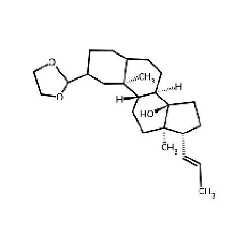 CC=C[C@H]1CC[C@@]2(O)[C@@H]3CCC4CCC(C5OCCO5)C[C@]4(C)[C@H]3CC[C@]12C